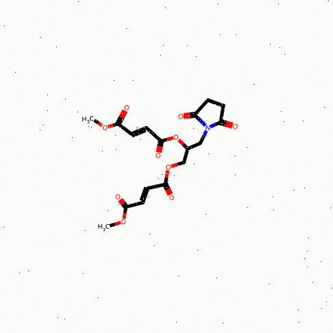 COC(=O)/C=C/C(=O)OCC(CN1C(=O)CCC1=O)OC(=O)/C=C/C(=O)OC